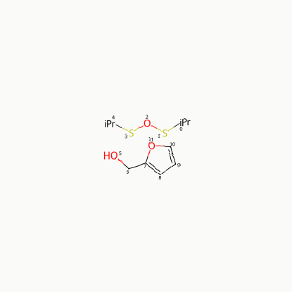 CC(C)SOSC(C)C.OCc1ccco1